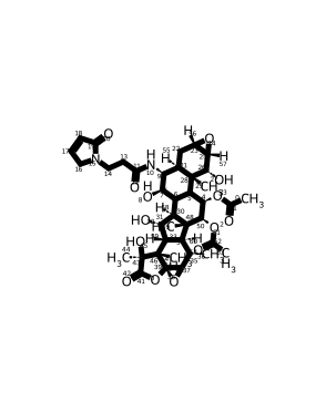 CC(=O)O[C@H]1C2C([C@@H](O)[C@H](NC(=O)CCN3CC=CC3=O)[C@H]3C[C@@H]4O[C@@H]4[C@H](O)[C@]23C)[C@@H]2[C@@H](O)[C@@H]3[C@H]([C@H](C)[C@H]4O[C@]45OC(=O)[C@@](C)(O)[C@]35C)[C@@]2(C)[C@H]1OC(C)=O